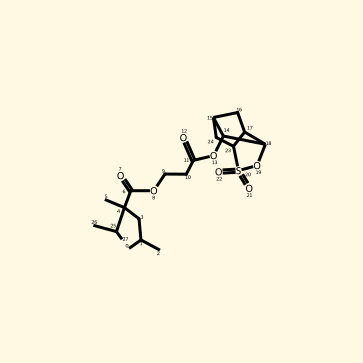 CC(C)CC(C)(C(=O)OCCC(=O)OC1C2CC3C1OS(=O)(=O)C3C2)C(C)C